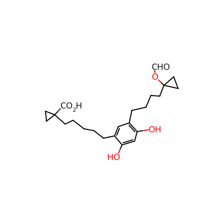 O=COC1(CCCCc2cc(CCCCCC3(C(=O)O)CC3)c(O)cc2O)CC1